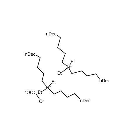 CCCCCCCCCCCCCC[N+](CC)(CC)CCCCCCCCCCCCCC.CCCCCCCCCCCCCC[N+](CC)(CC)CCCCCCCCCCCCCC.O=C([O-])[O-]